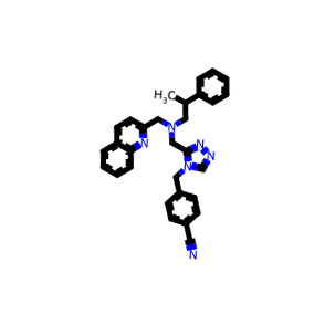 CC(CN(Cc1ccc2ccccc2n1)Cc1nncn1Cc1ccc(C#N)cc1)c1ccccc1